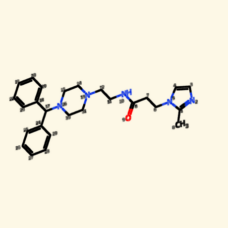 Cc1nccn1CCC(=O)NCCN1CCN(C(c2ccccc2)c2ccccc2)CC1